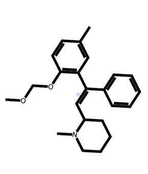 COCOc1ccc(C)cc1/C(=C/C1CCCCN1C)c1ccccc1